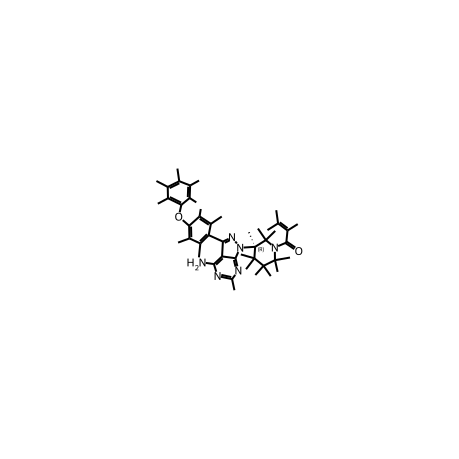 CC(C)=C(C)C(=O)N1C(C)(C)C(C)(C)C(C)(C)[C@@](C)(n2nc(-c3c(C)c(C)c(Oc4c(C)c(C)c(C)c(C)c4C)c(C)c3C)c3c(N)nc(C)nc32)C1(C)C